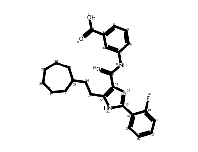 O=C(O)c1cccc(NC(=O)c2nc(-c3ccccc3F)[nH]c2CCC2CCCCCC2)c1